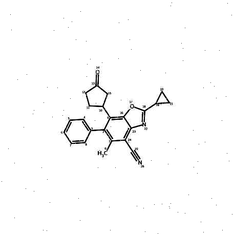 Cc1c(-c2ccccc2)c(C2CCC(=O)C2)c2oc(C3CC3)nc2c1C#N